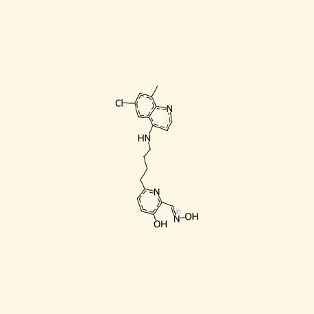 Cc1cc(Cl)cc2c(NCCCCc3ccc(O)c(/C=N/O)n3)ccnc12